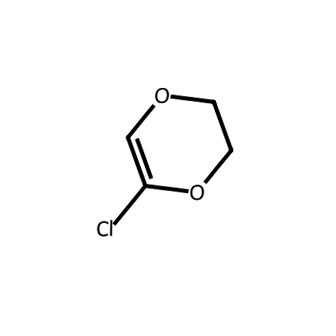 ClC1=COCCO1